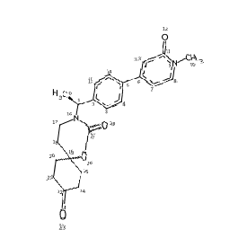 C[C@@H](c1ccc(-c2ccn(C)c(=O)c2)cc1)N1CCC2(CCC(=O)CC2)OC1=O